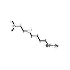 CN(C)CCOCCCCNC(C)(C)C